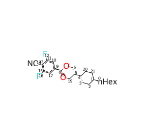 CCCCCC[C@H]1CC[C@H]([C@H]2CO[C@H](c3cc(F)c(C#N)c(F)c3)OC2)CC1